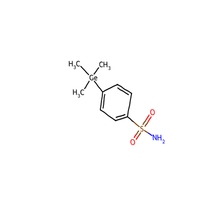 [CH3][Ge]([CH3])([CH3])[c]1ccc(S(N)(=O)=O)cc1